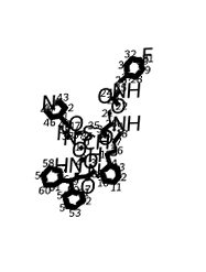 COC(=O)NC(C(=O)Nc1ccccc1CC[C@@H]1CN[C@H](COC(=O)NCc2ccc(F)cc2)[C@@H](CSc2nnc(-c3ccncc3)o2)O1)C(c1ccccc1)c1ccccc1